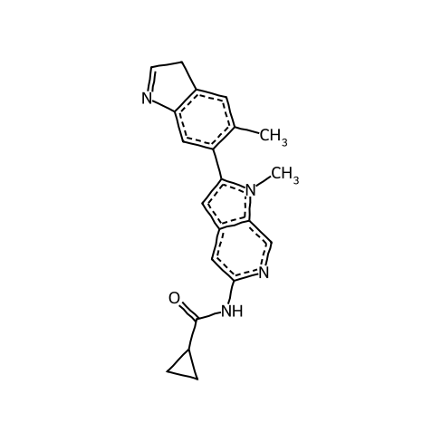 Cc1cc2c(cc1-c1cc3cc(NC(=O)C4CC4)ncc3n1C)N=CC2